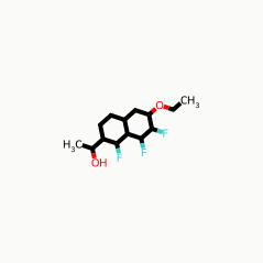 CCOC1CC2CCC(C(C)O)C(F)C2C(F)C1F